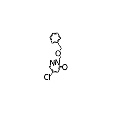 O=c1cc(Cl)cnn1COCc1ccccc1